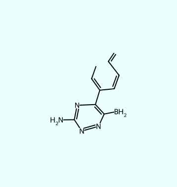 Bc1nnc(N)nc1C(/C=C\C=C)=C/C